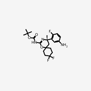 CC(C)(C)OC(=O)NC1=N[C@](C)(c2cc(N)ccc2F)CC2(CCC(F)(F)CC2)O1